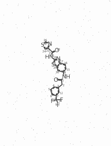 O=C(Cc1cccc(C(F)(F)F)c1)Nc1ccc2nc(NC(=O)c3cscn3)sc2c1